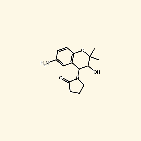 CC1(C)Oc2ccc(N)cc2C(N2CCCC2=O)C1O